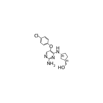 Nc1ncc(Oc2ccc(Cl)cc2)c(N[C@@H]2CC[C@@H](CO)C2)n1